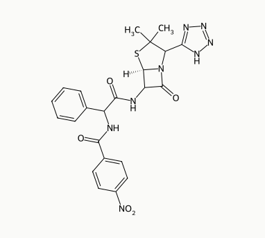 CC1(C)S[C@@H]2C(NC(=O)C(NC(=O)c3ccc([N+](=O)[O-])cc3)c3ccccc3)C(=O)N2C1c1nnn[nH]1